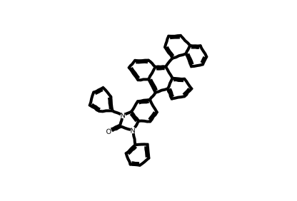 O=c1n(-c2ccccc2)c2ccc(-c3c4ccccc4c(-c4cccc5ccccc45)c4ccccc34)cc2n1-c1ccccc1